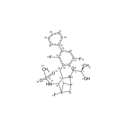 C[C@@H](O)C(=O)N1C2CC(F)(C2)C(NS(C)(=O)=O)C1Cc1cc(F)cc(-c2ccccc2)c1F